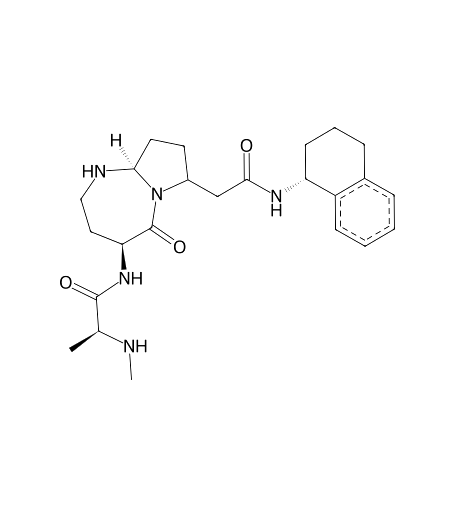 CN[C@@H](C)C(=O)N[C@H]1CCN[C@H]2CCC(CC(=O)N[C@@H]3CCCc4ccccc43)N2C1=O